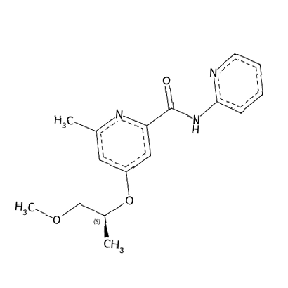 COC[C@H](C)Oc1cc(C)nc(C(=O)Nc2ccccn2)c1